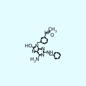 C[PH](=O)Cc1cccc(Cn2c(O)nc3c(N)nc(NCc4ccccc4)nc32)c1